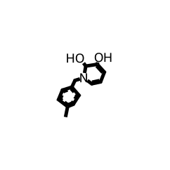 Cc1ccc(CN2C=CC=C(O)C2O)cc1